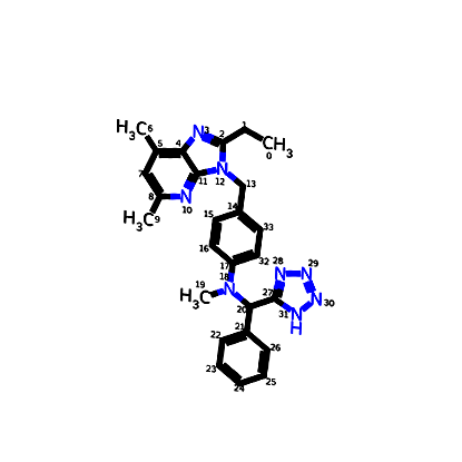 CCc1nc2c(C)cc(C)nc2n1Cc1ccc(N(C)C(c2ccccc2)c2nnn[nH]2)cc1